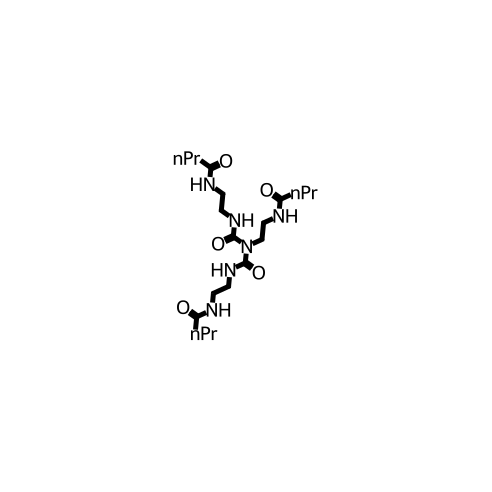 CCCC(=O)NCCNC(=O)N(CCNC(=O)CCC)C(=O)NCCNC(=O)CCC